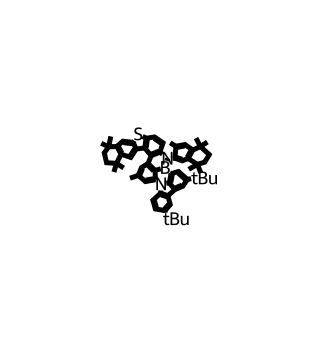 Cc1cc2c3c(c1)-n1c4ccc(C(C)(C)C)cc4c4cc(C(C)(C)C)cc(c41)B3N(c1cc3c(cc1C)C(C)(C)CCC3(C)C)c1ccc3sc4cc5c(cc4c3c1-2)C(C)(C)CCC5(C)C